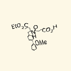 CCOC(=O)C(C)CC(Cc1ccc(-c2ccccc2OC)cc1)NC(=O)CCC(=O)O